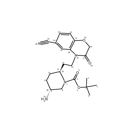 CC(C)(C)OC(=O)N1C[C@H](N)CC[C@H]1CCN1C(=O)COc2ccc(C#N)cc21